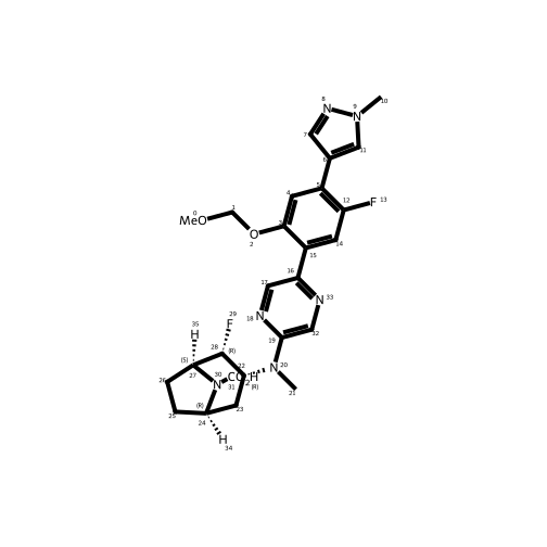 COCOc1cc(-c2cnn(C)c2)c(F)cc1-c1cnc(N(C)[C@@H]2C[C@H]3CC[C@@H]([C@@H]2F)N3C(=O)O)cn1